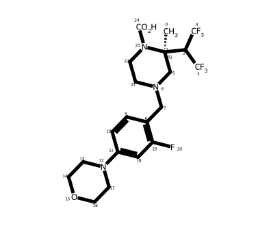 C[C@]1(C(C(F)(F)F)C(F)(F)F)CN(Cc2ccc(N3CCOCC3)cc2F)CCN1C(=O)O